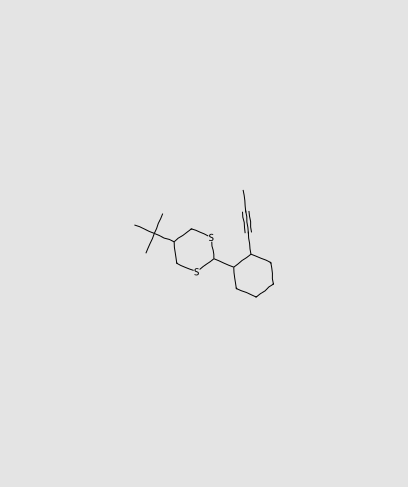 CC#CC1CCCCC1C1SCC(C(C)(C)C)CS1